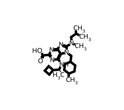 CC(C)CN(C)c1nc2nc(C(=O)O)nc(N[C@H](C)C3CCC3)c2n1CC1CCC(C)CC1